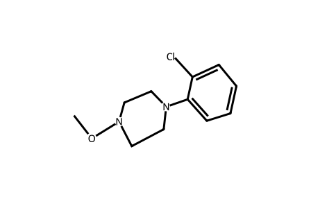 CON1CCN(c2ccccc2Cl)CC1